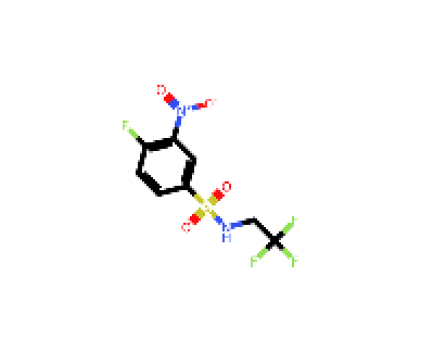 O=[N+]([O-])c1cc(S(=O)(=O)NCC(F)(F)F)ccc1F